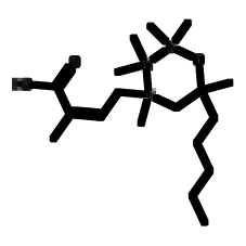 CCCCCC1(C)C[Si](C)(CC=C(C)C(=O)O)[Si](C)(C)[Si](C)(C)O1